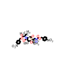 CC(C)=C(C(=O)OCc1ccc([N+](=O)[O-])cc1)N1C(=O)[C@@H]([C@@H](CO[SiH](C)C)C(C)(C)C)[C@H]1CC(=O)SCCNC(=O)OCc1ccc([N+](=O)[O-])cc1